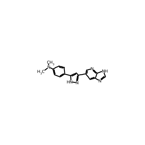 CN(C)c1ccc(-c2cc(-c3cnc4[nH]cnc4c3)n[nH]2)cc1